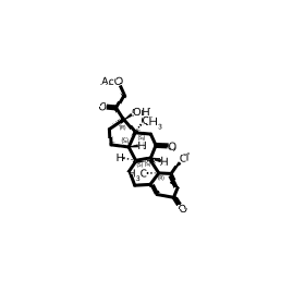 CC(=O)OCC(=O)[C@@]1(O)CC[C@H]2[C@@H]3CCC4=CC(=O)C=C(Cl)[C@]4(C)[C@H]3C(=O)C[C@@]21C